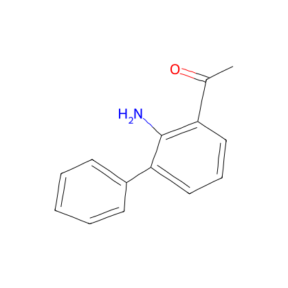 CC(=O)c1cccc(-c2ccccc2)c1N